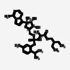 CCC(CC)COC(=O)[C@H](C)NP(=O)(OC[C@H]1O[C@@](C)(c2ccc3c(N)ncnn23)[C@H](O)[C@@H]1O)Oc1cc(C)ccc1C(C)C